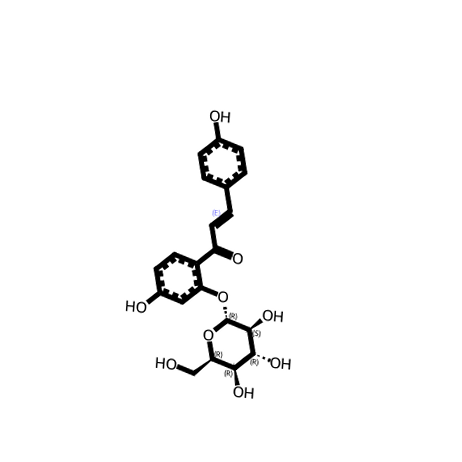 O=C(/C=C/c1ccc(O)cc1)c1ccc(O)cc1O[C@H]1O[C@H](CO)[C@H](O)[C@@H](O)[C@@H]1O